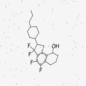 CCCC1CCC(C2Cc3c4c(c(F)c(F)c3C2(F)F)CCCC4O)CC1